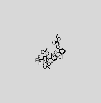 CCOC(=O)COc1ccccc1Oc1nc(N2C(OC(C)=O)C=C(C(F)(F)F)N(C)C2OC(C)=O)c(F)cc1Cl